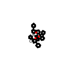 c1ccc(-c2ccc(N(c3cccc(C4(c5ccccc5)c5ccccc5-c5ccccc54)c3)c3cccc4oc5cc(-c6ccccc6)c6ccccc6c5c34)cc2)cc1